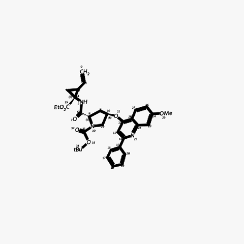 C=CC1C[C@]1(NC(=O)[C@@H]1C[C@@H](Oc2cc(-c3ccccc3)nc3cc(OC)ccc23)CN1C(=O)OC(C)(C)C)C(=O)OCC